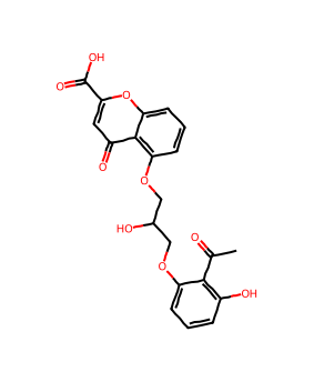 CC(=O)c1c(O)cccc1OCC(O)COc1cccc2oc(C(=O)O)cc(=O)c12